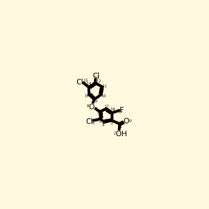 O=C(O)c1cc(Cl)c(Oc2ccc(Cl)c(Cl)c2)cc1F